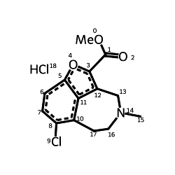 COC(=O)c1oc2ccc(Cl)c3c2c1CN(C)CC3.Cl